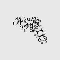 CC(C)(C)OC(=O)N1[C@@H](C(O)c2ccc3c(c2)OCCO3)COC1(C)C